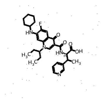 CCC(CC)n1cc(C(=O)N[C@@H](C(=O)O)C(C)c2cccnc2)c(=O)c2cc(F)c(NC3CCCCC3)cc21